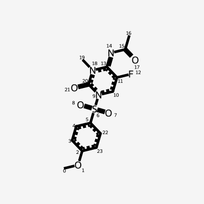 COc1ccc(S(=O)(=O)n2cc(F)/c(=N\C(C)=O)n(C)c2=O)cc1